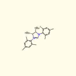 CCCCC1C(CCCC)[N+](c2c(C)cc(C)cc2C)=CN1c1c(C)cc(C)cc1C